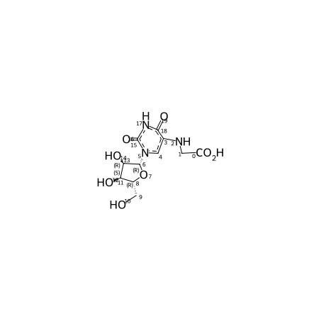 O=C(O)CNc1cn([C@@H]2O[C@H](CO)[C@@H](O)[C@H]2O)c(=O)[nH]c1=O